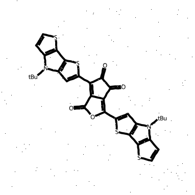 CC(C)(C)n1c2ccsc2c2sc(-c3oc(=O)c4c(-c5cc6c(s5)c5sccc5n6C(C)(C)C)c(=O)c(=O)c3-4)cc21